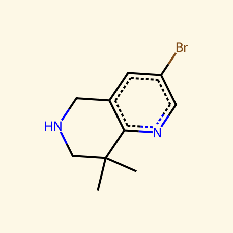 CC1(C)CNCc2cc(Br)cnc21